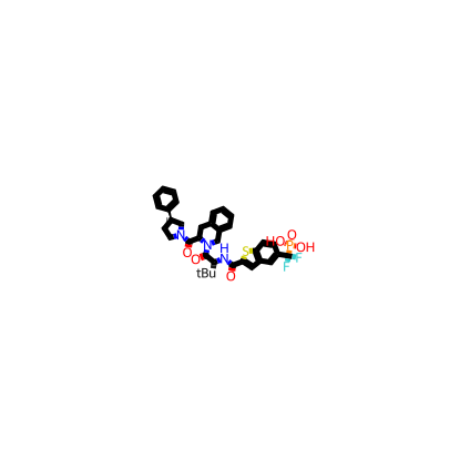 CC(C)(C)C(NC(=O)c1cc2cc(C(F)(F)P(=O)(O)O)ccc2s1)C(=O)N1Cc2ccccc2CC1C(=O)N1CC[C@@H](c2ccccc2)C1